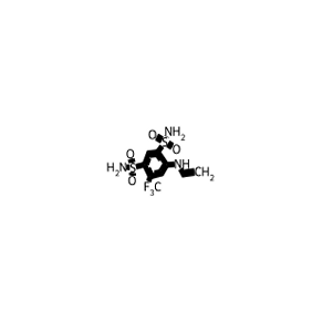 C=CNc1cc(C(F)(F)F)c(S(N)(=O)=O)cc1S(N)(=O)=O